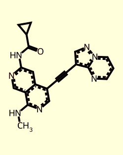 CNc1ncc(C#Cc2cnn3cccnc23)c2cc(NC(=O)C3CC3)ncc12